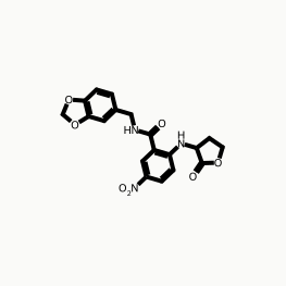 O=C(NCc1ccc2c(c1)OCO2)c1cc([N+](=O)[O-])ccc1NC1CCOC1=O